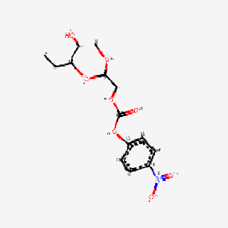 CCC(CO)OC(COC(=O)Oc1ccc([N+](=O)[O-])cc1)OC